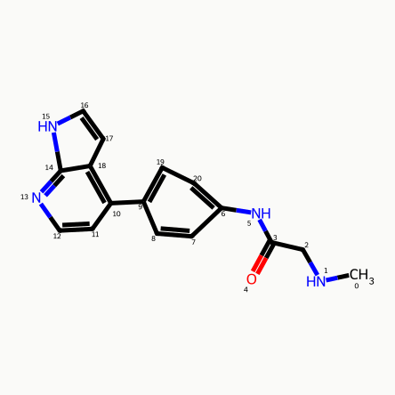 CNCC(=O)Nc1ccc(-c2ccnc3[nH]ccc23)cc1